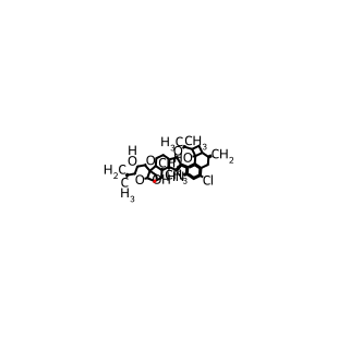 C=C(C)C1OC2CCC3(C)C4(C)c5[nH]c6cc(Cl)c7c8c6c5C(OC(C)(C)C5CC(C(=C)C7)C85O)C4CCC34OC(C1O)C24CO